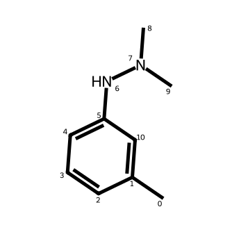 Cc1cccc(NN(C)C)c1